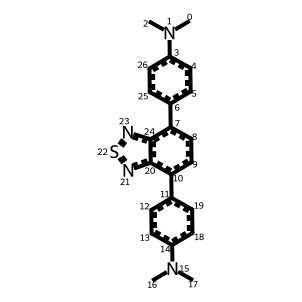 CN(C)c1ccc(-c2ccc(-c3ccc(N(C)C)cc3)c3nsnc23)cc1